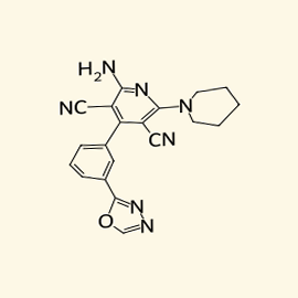 N#Cc1c(N)nc(N2CCCCC2)c(C#N)c1-c1cccc(-c2nnco2)c1